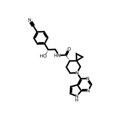 N#Cc1ccc([C@@H](O)CNC(=O)[C@H]2CCN(c3ncnc4[nH]ccc34)CC23CC3)cc1